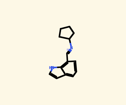 C(=N\C1CCCC1)/c1cccc2cc[nH]c12